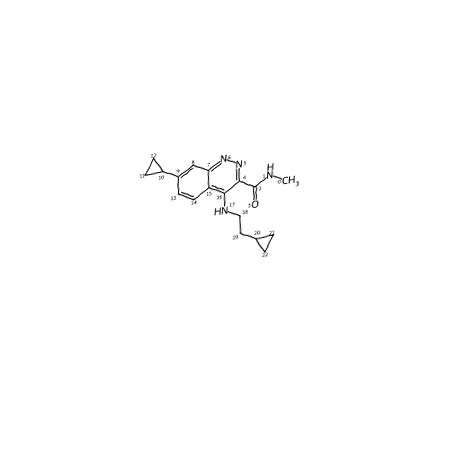 CNC(=O)c1nnc2cc(C3CC3)ccc2c1NCCC1CC1